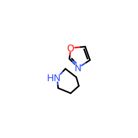 C1CCNCC1.c1cocn1